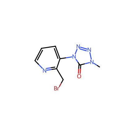 Cn1nnn(-c2cccnc2CBr)c1=O